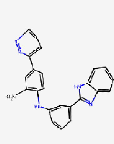 O=[N+]([O-])c1cc(-c2cccnn2)ccc1Nc1cccc(-c2nc3ccccc3[nH]2)c1